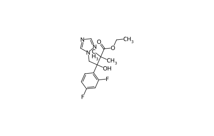 CCOC(=O)C(C)(C)C(O)(Cn1cncn1)c1ccc(F)cc1F